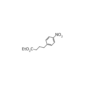 CCOC(=O)CCCc1ccc([N+](=O)[O-])cc1